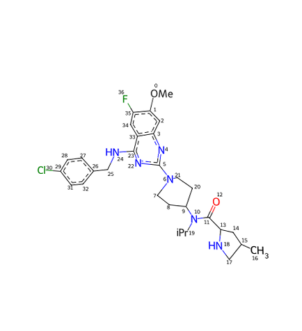 COc1cc2nc(N3CCC(N(C(=O)C4CC(C)CN4)C(C)C)CC3)nc(NCc3ccc(Cl)cc3)c2cc1F